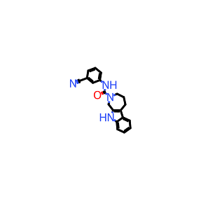 N#Cc1cccc(NC(=O)N2CCCc3c([nH]c4ccccc34)C2)c1